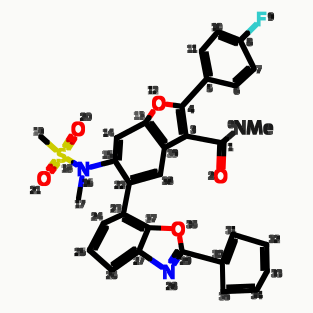 CNC(=O)c1c(-c2ccc(F)cc2)oc2cc(N(C)S(C)(=O)=O)c(-c3cccc4nc(-c5ccccc5)oc34)cc12